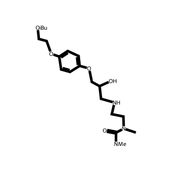 CNC(=O)N(C)CCNCC(O)COc1ccc(OCCOCC(C)C)cc1